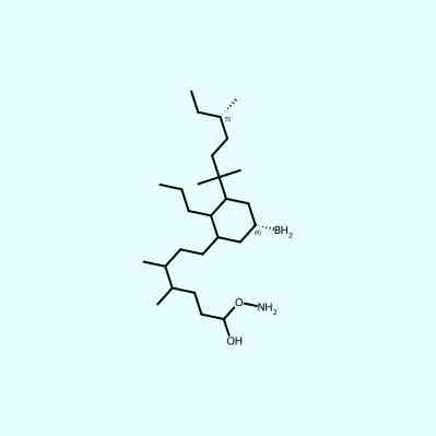 B[C@@H]1CC(CCC(C)C(C)CCC(O)ON)C(CCC)C(C(C)(C)CC[C@@H](C)CC)C1